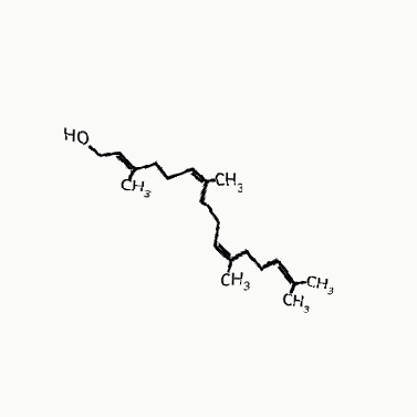 CC(C)=CCC/C(C)=C\CC/C(C)=C\CC/C(C)=C/CO